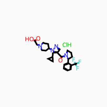 Cl.O=C(O)CN1CCC(n2ncc(C(=O)N3CCCC3c3ccccc3C(F)(F)F)c2C2CC2)CC1